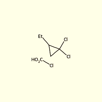 CCC1CC1(Cl)Cl.O=C(O)Cl